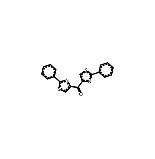 O=C(c1csc(-c2ccccc2)n1)c1csc(-c2ccccc2)n1